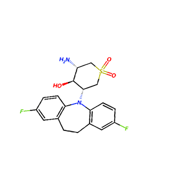 N[C@@H]1CS(=O)(=O)C[C@H](N2c3ccc(F)cc3CCc3cc(F)ccc32)[C@H]1O